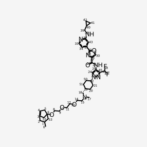 CC1CC2=CCC(OCCOCCOCCN(C)C[C@H]3CC[C@H](n4cc(NC(=O)c5coc(-c6ccnc(NCC7CC7)c6)n5)c(C(F)F)n4)CC3)(C2)C1